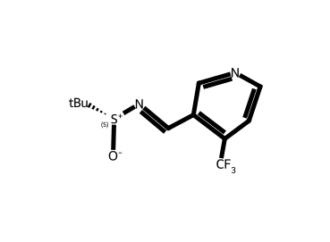 CC(C)(C)[S@@+]([O-])N=Cc1cnccc1C(F)(F)F